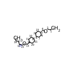 C=CCOC[C@H]1CC[C@H](C2CCC(CO/C=C\CCC)CC2)CC1